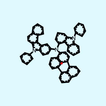 c1ccc(-c2cccc3cccc(-c4ccc(N(c5ccc6c(c5)c5c7ccccc7ccc5n6-c5ccccc5)c5cccc6c5c5ccccc5n6-c5ccccc5)cc4)c23)cc1